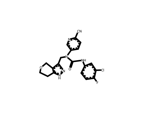 N#Cc1ccc(N(Cc2n[nH]c3c2COCC3)C(=O)Nc2ccc(F)c(Cl)c2)cn1